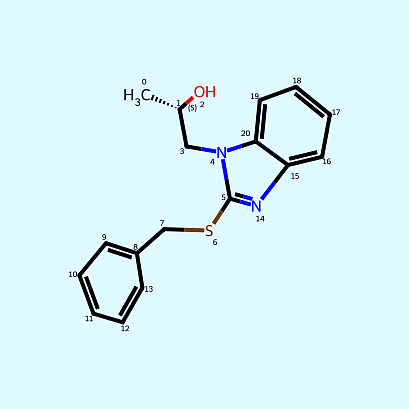 C[C@H](O)Cn1c(SCc2ccccc2)nc2ccccc21